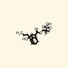 CCCC1(O)C2CC3CC(C2)C(C(=O)OCC(F)(F)S(=O)(=O)O)C1C3